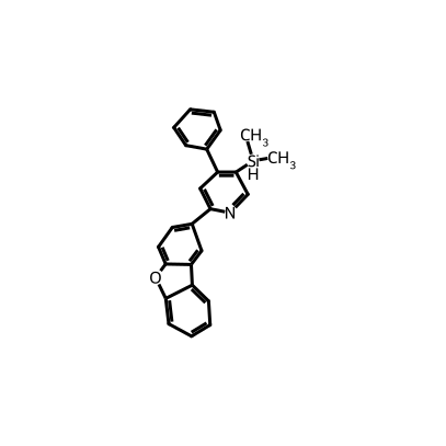 C[SiH](C)c1cnc(-c2ccc3oc4ccccc4c3c2)cc1-c1ccccc1